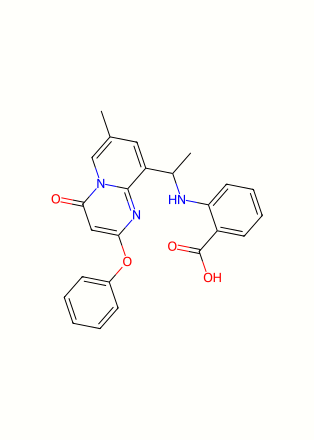 Cc1cc(C(C)Nc2ccccc2C(=O)O)c2nc(Oc3ccccc3)cc(=O)n2c1